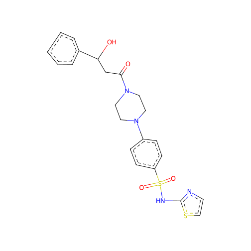 O=C(CC(O)c1ccccc1)N1CCN(c2ccc(S(=O)(=O)Nc3nccs3)cc2)CC1